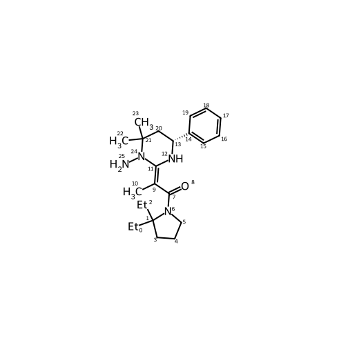 CCC1(CC)CCCN1C(=O)/C(C)=C1\N[C@@H](c2ccccc2)CC(C)(C)N1N